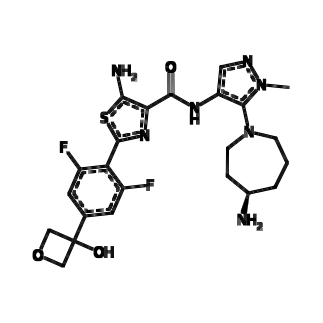 Cn1ncc(NC(=O)c2nc(-c3c(F)cc(C4(O)COC4)cc3F)sc2N)c1N1CCC[C@@H](N)CC1